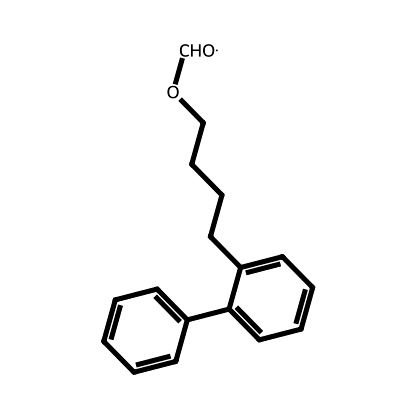 O=[C]OCCCCc1ccccc1-c1ccccc1